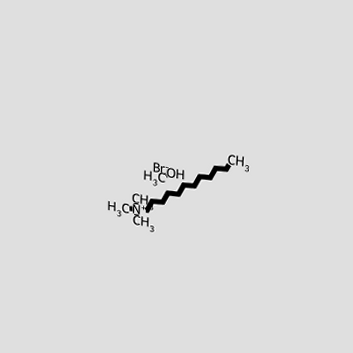 CCCCCCCCCCCC[N+](C)(C)C.CO.[Br-]